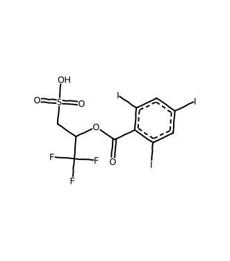 O=C(OC(CS(=O)(=O)O)C(F)(F)F)c1c(I)cc(I)cc1I